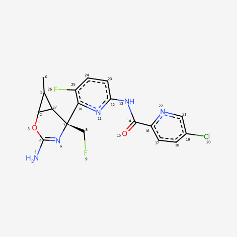 CC1C2OC(N)=N[C@@](CF)(c3nc(NC(=O)c4ccc(Cl)cn4)ccc3F)C12